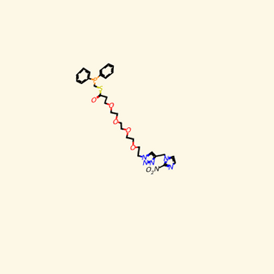 O=C(CCOCCOCCOCCOCCn1cc(Cn2ccnc2[N+](=O)[O-])nn1)SCP(c1ccccc1)c1ccccc1